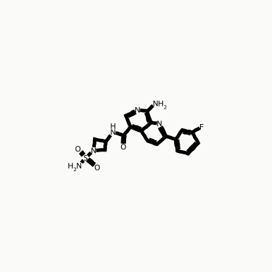 Nc1ncc(C(=O)NC2CN(S(N)(=O)=O)C2)c2ccc(-c3cccc(F)c3)nc12